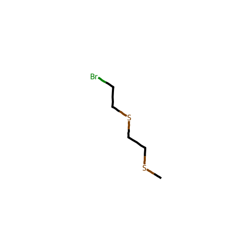 CSCCSCCBr